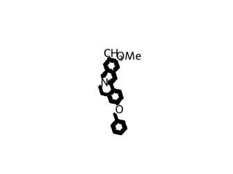 COc1cc2cc3[n+](cc2cc1C)CCc1cc(OCc2ccccc2)ccc1-3